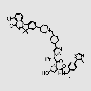 Cc1ncsc1-c1ccc([C@H](C)NC(=O)[C@@H]2C[C@@H](O)CN2C(=O)[C@H](C(C)C)n2cc(C3CCC(CN4CCC(c5ccc6c(c5)C(C)(C)c5nc(=O)c7c(Cl)cccc7n5-6)CC4)CC3)nn2)cc1